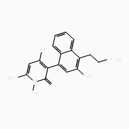 Cc1cc(C(F)(F)F)c(-c2cc(N)c(CCC(=O)O)c3ccccc23)c(=O)n1C